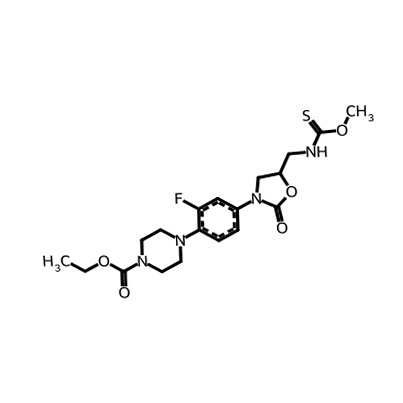 CCOC(=O)N1CCN(c2ccc(N3CC(CNC(=S)OC)OC3=O)cc2F)CC1